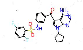 Nc1ncnc2c1c(C(=O)c1cccc(NS(=O)(=O)c3cc(F)ccc3F)c1)cn2C1CCCC1